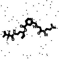 C=CC(CCNC(=O)C(F)(F)C(=C)C)OC(=O)c1ccnc(CNCC(=O)N(CC)CCN(C)C)c1